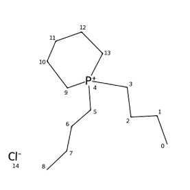 CCCC[P+]1(CCCC)CCCCC1.[Cl-]